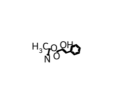 CC(C#N)OC(=O)C(O)=Cc1ccccc1